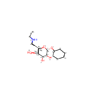 CC(C)CNC[C@H]1O[C@H](OC2CCCCC2)[C@@H](O)[C@@H](O)[C@H]1O